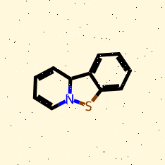 C1=CC2c3ccccc3SN2C=C1